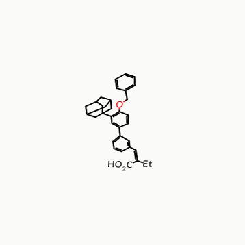 CCC(=Cc1cccc(-c2ccc(OCc3ccccc3)c(C34CC5CC(CC(C5)C3)C4)c2)c1)C(=O)O